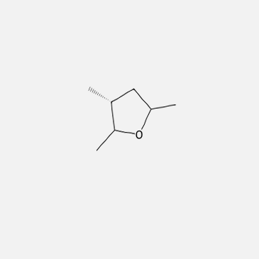 CC1C[C@@H](C)C(C)O1